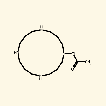 C[C](=O)[Ti][N]1CCCNCCCNCCCNCCC1